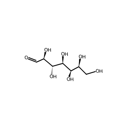 O=C[C@@H](O)[C@@H](O)[C@@H](O)[C@H](O)[C@@H](O)CO